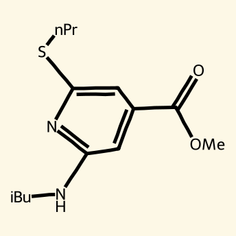 CCCSc1cc(C(=O)OC)cc(NC(C)CC)n1